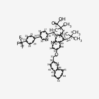 CC(C)(C)Sc1c(CC(C)(C)C(=O)O)n(Cc2ccc(-c3ccc(C(F)(F)F)cc3)cn2)c2ncc(OCc3ccc4ccccc4n3)cc12